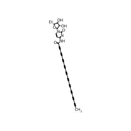 CC#CC#CC#CC#CC#CC#CC#CC#CC#CC#CC(=O)Nc1ccn([C@@H]2O[C@H](CC)[C@@H](O)[C@@H]2O)c(=O)n1